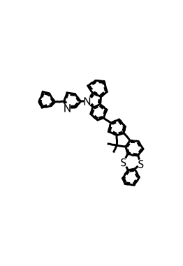 CC1(C)c2cc(-c3ccc4c(c3)c3ccccc3n4-c3ccc(-c4ccccc4)nc3)ccc2-c2ccc3c(c21)Sc1ccccc1S3